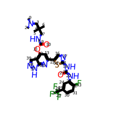 CN(C)CC(C)(C)CNC(=O)Oc1cc(-c2cnc(NC(=O)Nc3cc(C(F)(F)F)ccc3F)s2)nc2[nH]ncc12